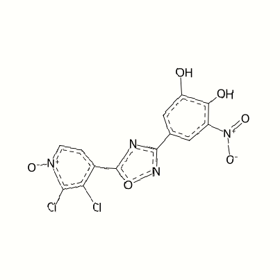 O=[N+]([O-])c1cc(-c2noc(-c3cc[n+]([O-])c(Cl)c3Cl)n2)cc(O)c1O